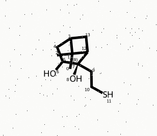 CC1(C)C2CC(O)[C@@](O)(CCS)C1C2